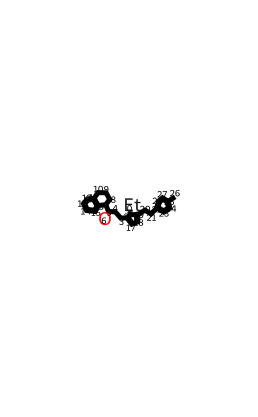 CCC1C(CCC(=O)C2CCCc3ccccc32)=CC=C1CCc1ccc(C)cc1